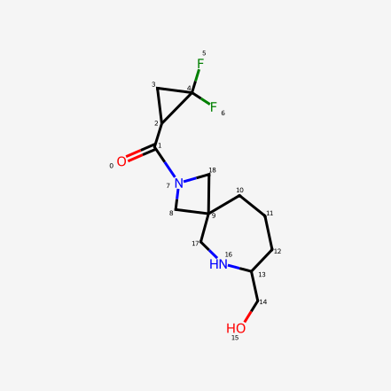 O=C(C1CC1(F)F)N1CC2(CCCC(CO)NC2)C1